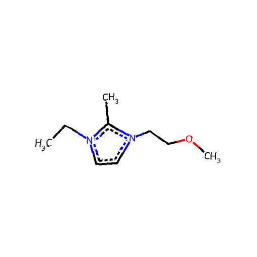 CC[n+]1ccn(CCOC)c1C